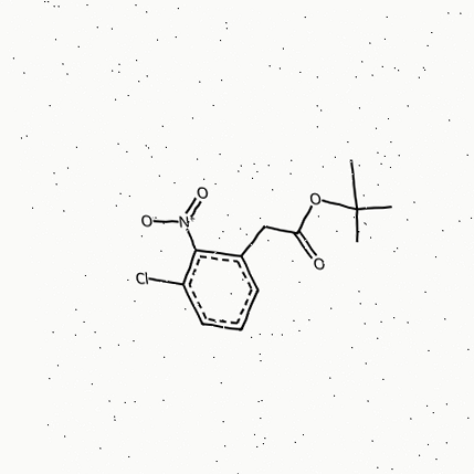 CC(C)(C)OC(=O)Cc1cccc(Cl)c1[N+](=O)[O-]